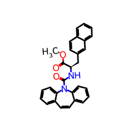 COC(=O)[C@@H](Cc1ccc2ccccc2c1)NC(=O)N1c2ccccc2C=Cc2ccccc21